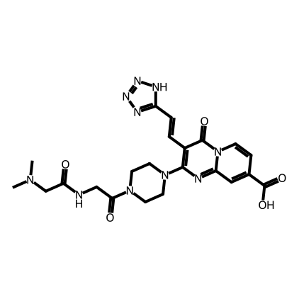 CN(C)CC(=O)NCC(=O)N1CCN(c2nc3cc(C(=O)O)ccn3c(=O)c2C=Cc2nnn[nH]2)CC1